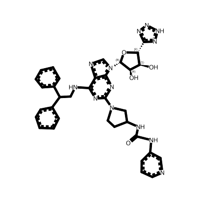 O=C(Nc1cccnc1)NC1CCN(c2nc(NCC(c3ccccc3)c3ccccc3)c3ncn([C@@H]4O[C@H](c5nn[nH]n5)[C@@H](O)[C@H]4O)c3n2)C1